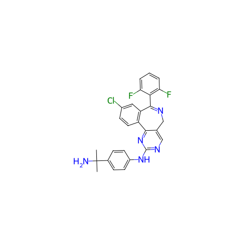 CC(C)(N)c1ccc(Nc2ncc3c(n2)-c2ccc(Cl)cc2C(c2c(F)cccc2F)=NC3)cc1